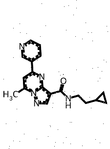 Cc1cc(-c2cccnc2)nc2c(C(=O)NCCC3CC3)cnn12